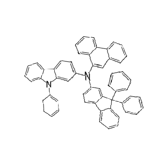 C1=CCCC(n2c3ccccc3c3ccc(N(c4ccc5c(c4)C(c4ccccc4)(c4ccccc4)c4ccccc4-5)c4cc5ccccc5c5ccccc45)cc32)=C1